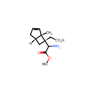 CC(C)(C)OC(=O)C(N)[C@]1(CC(=O)O)C[C@@H]2CC=C[C@@]21C